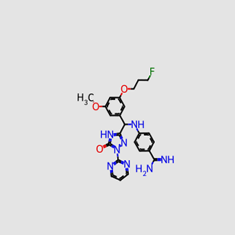 COc1cc(OCCCF)cc(C(Nc2ccc(C(=N)N)cc2)c2nn(-c3ncccn3)c(=O)[nH]2)c1